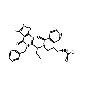 CCC(c1nc2onc(C)c2c(=O)n1Cc1ccccc1)N(CCCNC(=O)O)C(=O)c1ccncc1